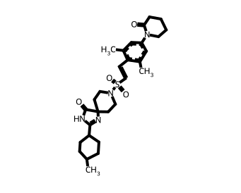 Cc1cc(N2CCCCC2=O)cc(C)c1C=CS(=O)(=O)N1CCC2(CC1)N=C(C1CCC(C)CC1)NC2=O